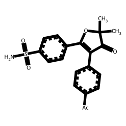 CC(=O)c1ccc(C2=C(c3ccc(S(N)(=O)=O)cc3)OC(C)(C)C2=O)cc1